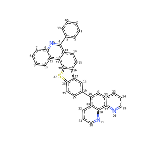 c1ccc(-c2nc3ccccc3c3c2ccc2c4cc(-c5cc6cccnc6c6ncccc56)ccc4sc23)cc1